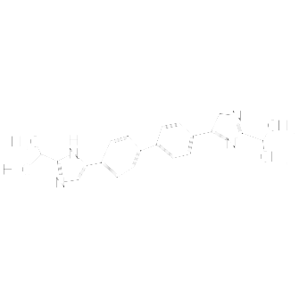 CC(C)C1=NCC(c2ccc(-c3ccc(-c4cnc(C(C)C)[nH]4)cc3)cc2)=N1